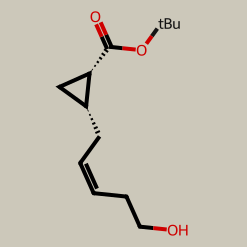 CC(C)(C)OC(=O)[C@H]1C[C@H]1C/C=C\CCO